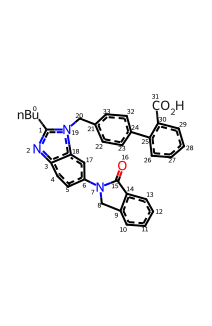 CCCCc1nc2ccc(N3Cc4ccccc4C3=O)cc2n1Cc1ccc(-c2ccccc2C(=O)O)cc1